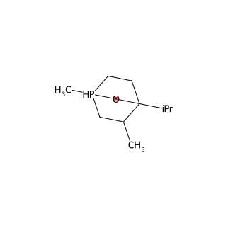 CC(C)C12CC[PH](C)(CC1C)OC2